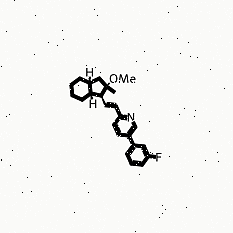 CO[C@@]1(C)C[C@H]2CCCC[C@H]2[C@@H]1C=Cc1ccc(-c2cccc(F)c2)cn1